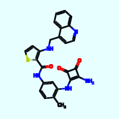 Cc1ccc(NC(=O)c2sccc2NCc2ccnc3ccccc23)cc1Nc1c(N)c(=O)c1=O